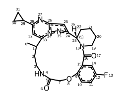 CC1CCNC(=O)COc2ccc(F)cc2C(=O)N2CCCC[C@H]2c2cc3nc(C4CC4)cc1n3n2